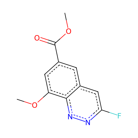 COC(=O)c1cc(OC)c2nnc(F)cc2c1